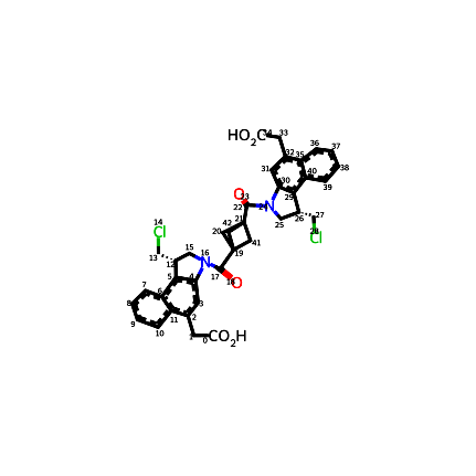 O=C(O)Cc1cc2c(c3ccccc13)[C@H](CCl)CN2C(=O)C12CC(C(=O)N3C[C@@H](CCl)c4c3cc(CC(=O)O)c3ccccc43)(C1)C2